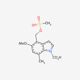 COc1cc(C)c2c(ccn2C(=O)O)c1COS(C)(=O)=O